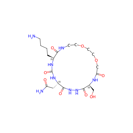 NCCCC[C@@H]1NC(=O)N[C@@H](CC(N)=O)C(=O)NNC(=O)[C@H](CO)NC(=O)COCCOCCNC1=O